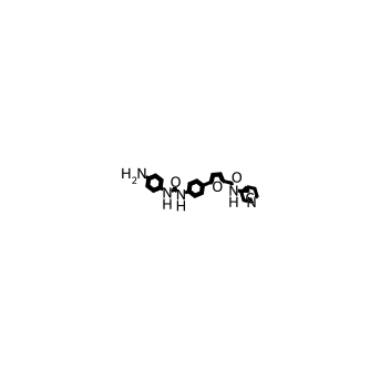 Nc1ccc(NC(=O)Nc2ccc(-c3ccc(C(=O)NC4CN5CCC4CC5)o3)cc2)cc1